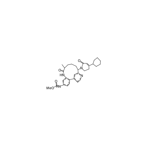 COC(=O)Nc1ccc2c(c1)NC(=O)C(C)CCCC(N1CCC(C3CCCCC3)=CC1=O)c1cc-2ccn1